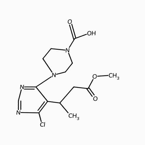 COC(=O)CC(C)c1c(Cl)ncnc1N1CCN(C(=O)O)CC1